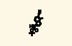 Cc1c(C#N)ccc2c1CC[C@@H]2NC(=O)OC(C)(C)C